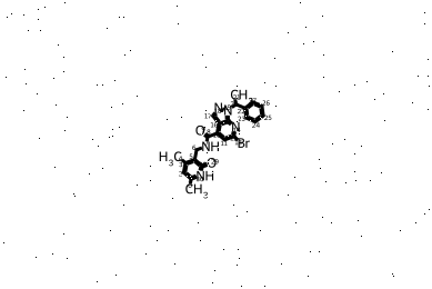 Cc1cc(C)c(CNC(=O)c2cc(Br)nc3c2cnn3C(C)c2ccccc2)c(=O)[nH]1